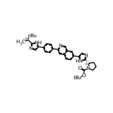 CCCC[C@H](C)c1ncc(-c2ccc(-c3cc4ccc(-c5cnc([C@@H]6CCCN6C(=O)OC(C)(C)C)[nH]5)cc4cn3)cc2)[nH]1